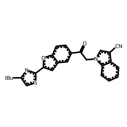 CC(C)(C)c1csc(-c2cc3cc(C(=O)Cn4cc(C#N)c5ccccc54)ccc3o2)n1